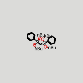 CCCCO[Si](C[Si](OCCCC)(OCCCC)c1ccccc1)(OCCCC)c1ccccc1